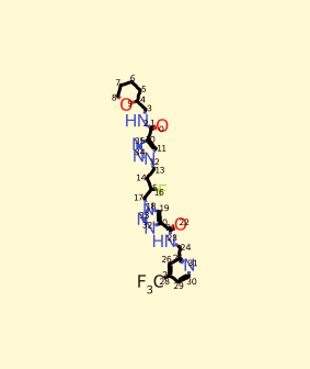 O=C(NCC1CCCCO1)c1cn(CCC(F)Cn2cc(C(=O)NCc3cc(C(F)(F)F)ccn3)nn2)nn1